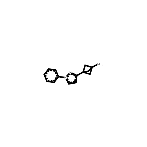 NC12CC(c3ccn(-c4ccccc4)n3)(C1)C2